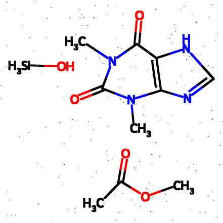 COC(C)=O.Cn1c(=O)c2[nH]cnc2n(C)c1=O.O[SiH3]